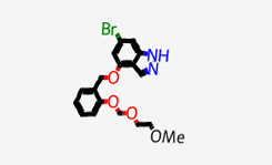 COCCOCOc1ccccc1COc1cc(Br)cc2[nH]ncc12